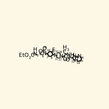 CCOC(=O)NC[C@H]1CN(c2ccc(N3CCN(C(=O)[C@H](C)NC(=O)c4cn5cccnc5n4)CC3)c(F)c2)C(=O)O1